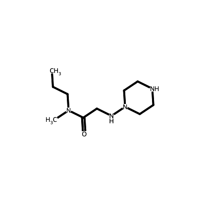 CCCN(C)C(=O)CNN1CCNCC1